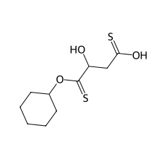 OC(=S)CC(O)C(=S)OC1CCCCC1